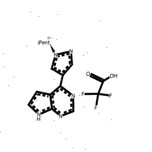 CCC[C@H](C)n1cc(-c2ncnc3[nH]ccc23)cn1.O=C(O)C(F)(F)F